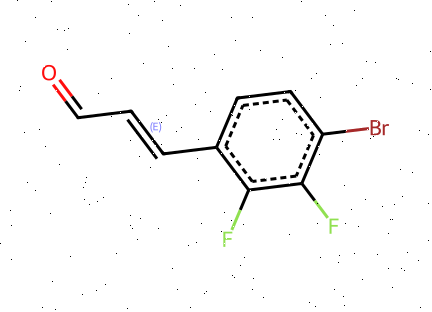 O=C/C=C/c1ccc(Br)c(F)c1F